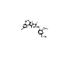 COc1ccc(CNC(=O)c2oc3c(c2C)-c2nc(C)sc2CC3)c(OC)c1